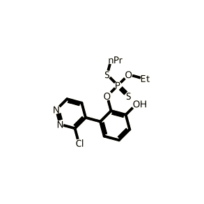 CCCSP(=S)(OCC)Oc1c(O)cccc1-c1ccnnc1Cl